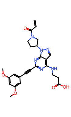 C=CC(=O)N1CC[C@H](n2ncc3c(NCCC(=O)O)nc(C#Cc4cc(OC)cc(OC)c4)nc32)C1